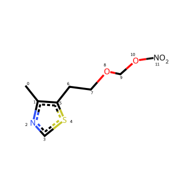 Cc1ncsc1CCOCO[N+](=O)[O-]